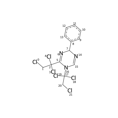 ClCC(Cl)(Cl)C1=NC(c2ccccc2)N=CN1C(Cl)(Cl)CCl